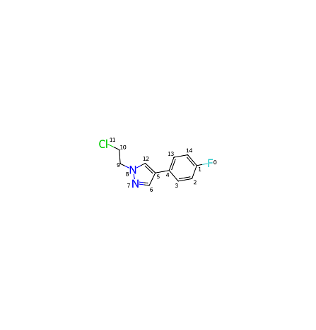 Fc1ccc(-c2cnn(CCCl)c2)cc1